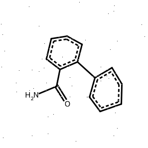 NC(=O)c1ccccc1-c1[c]cccc1